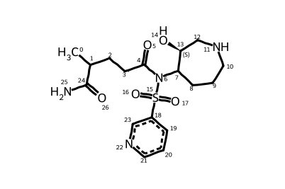 CC(C[CH]C(=O)N(C1CCCNC[C@@H]1O)S(=O)(=O)c1cccnc1)C(N)=O